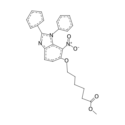 COC(=O)CCCCCOc1ccc2nc(-c3ccccc3)n(-c3ccccc3)c2c1[N+](=O)[O-]